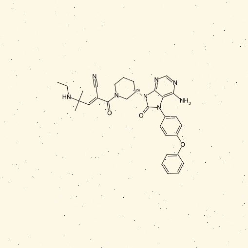 CCNC(C)(C)C=C(C#N)C(=O)N1CCC[C@H](n2c(=O)n(-c3ccc(Oc4ccccc4)cc3)c3c(N)ncnc32)C1